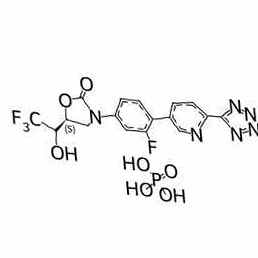 Cn1nnc(-c2ccc(-c3ccc(N4C[C@@H](C(O)C(F)(F)F)OC4=O)cc3F)cn2)n1.O=P(O)(O)O